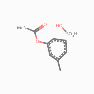 CNC(=O)Oc1cccc(C)c1.O=S(=O)(O)O